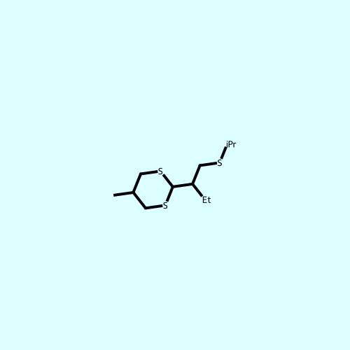 CCC(CSC(C)C)C1SCC(C)CS1